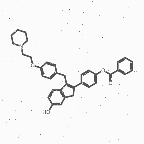 O=C(Oc1ccc(C2=C(Cc3ccc(OCCN4CCCCC4)cc3)c3ccc(O)cc3C2)cc1)c1ccccc1